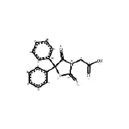 O=C(O)CN1C(=O)C(c2ccccc2)(c2ccccc2)SC1=S